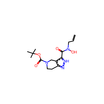 C=CCN(O)C(=O)c1[nH]nc2c1CN(C(=O)OC(C)(C)C)CC2